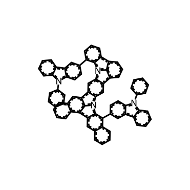 c1ccc(-n2c3ccccc3c3cc(-c4cccc5c6cccc7c8cc9c(cc8n(c45)c76)c4cc5ccccc5c5c6cc7ccccc7c(-c7ccc8c(c7)c7ccccc7n8-c7ccccc7)c6n9c45)ccc32)cc1